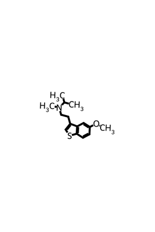 COc1ccc2scc(CCN(C)C(C)C)c2c1